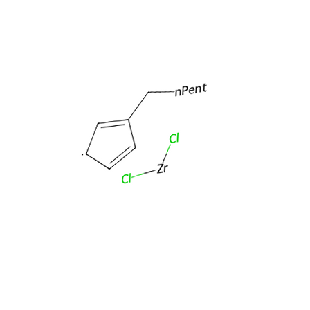 CCCCCCC1=C[CH]C=C1.[Cl][Zr][Cl]